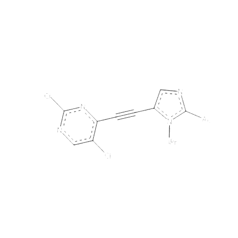 CC(=O)c1ncc(C#Cc2nc(Cl)ncc2Cl)n1C(C)C